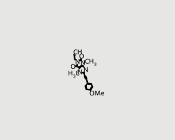 C#CCn1c(=O)c2c(nc(C#Cc3ccc(OC)cc3)n2C)n(C)c1=O